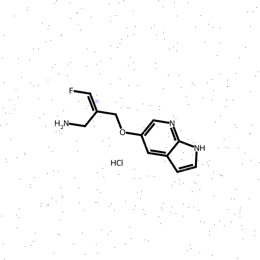 Cl.NC/C(=C\F)COc1cnc2[nH]ccc2c1